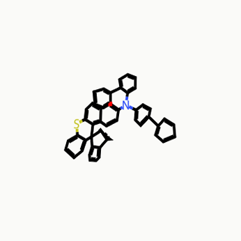 c1ccc(-c2ccc(N(c3ccc4c5c(ccc4c3)Sc3ccccc3C53c4ccccc4-c4ccccc43)c3ccccc3-c3ccccc3)cc2)cc1